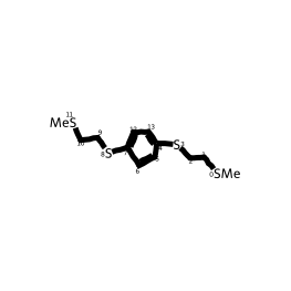 CSCCSc1ccc(SCCSC)cc1